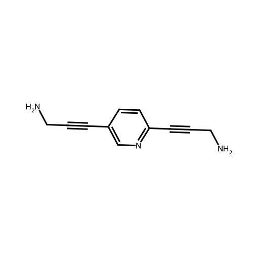 NCC#Cc1ccc(C#CCN)nc1